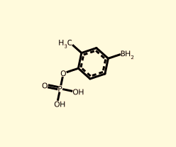 Bc1ccc(OP(=O)(O)O)c(C)c1